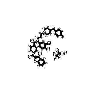 O=C(O)C(F)(F)F.O=C(c1sc2ccccc2c1Cl)N1CCC(C(=O)N(CCCN2CCC(Cc3ccc(F)cc3)CC2)c2ccc(Cl)c(Cl)c2)CC1